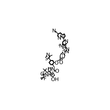 CNc1cc(-c2ccc3cc(C#N)cnn23)ncc1-c1nnc(N2CCN(C(=O)COc3cc(-c4scnc4C)ccc3CNC(=O)[C@@H]3C[C@@H](O)CN3C(=O)[C@@H](NC(=O)C3(F)CC3)C(C)(C)C)CC2)s1